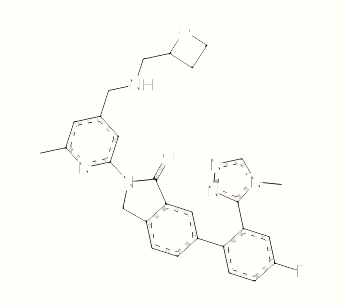 Cc1cc(CNCC2CCO2)cc(N2Cc3ccc(-c4ccc(F)cc4-c4nncn4C)cc3C2=O)n1